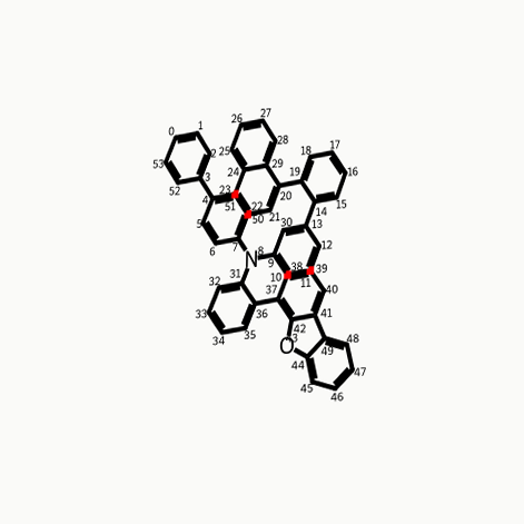 c1ccc(-c2ccc(N(c3cccc(-c4ccccc4-c4cccc5ccccc45)c3)c3ccccc3-c3cccc4c3oc3ccccc34)cc2)cc1